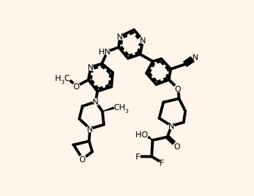 COc1nc(Nc2cc(-c3ccc(OC4CCN(C(=O)[C@H](O)C(F)F)CC4)c(C#N)c3)ncn2)ccc1N1CCN(C2COC2)C[C@@H]1C